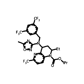 CCC1CC(N(Cc2cc(C(F)(F)F)cc(C(F)(F)F)c2)c2noc(C)n2)c2nc(C(F)(F)F)ccc2N1C(=O)OC(C)C